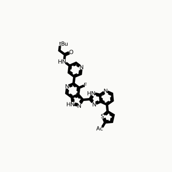 CC(=O)c1ccc(-c2ccnc3[nH]c(-c4n[nH]c5cnc(-c6cncc(NC(=O)CC(C)(C)C)c6)c(F)c45)nc23)s1